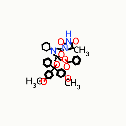 COc1ccc(C(OC[C@@]2(COC(=O)c3ccccc3)CN(C3CCCCC3)C[C@H](n3cc(C)c(=O)[nH]c3=O)O2)(c2ccccc2)c2ccc(OC)cc2)cc1